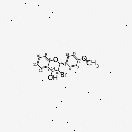 COc1ccc(C2Oc3ccccc3C(O)C2Br)cc1